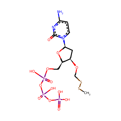 CSSCO[C@@H]1C[C@H](n2ccc(N)nc2=O)O[C@@H]1COP(=O)(O)OP(=O)(O)OP(=O)(O)O